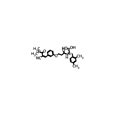 Cc1ccc(C[C@H](NC(=O)CCOc2cccc(C=C(C#N)C(=O)N(C)C)c2)B(O)O)c(C)c1